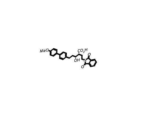 COc1ccc(-c2ccc(CC[C@@H](O)[C@@H](CCN3C(=O)c4ccccc4C3=O)C(=O)O)cc2)cc1